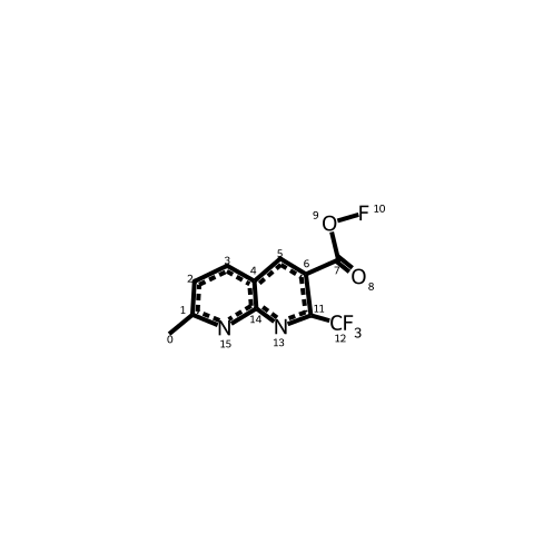 Cc1ccc2cc(C(=O)OF)c(C(F)(F)F)nc2n1